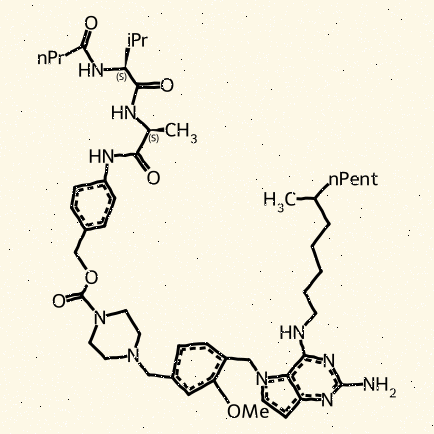 CCCCCC(C)CCCCCNc1nc(N)nc2ccn(Cc3ccc(CN4CCN(C(=O)OCc5ccc(NC(=O)[C@H](C)NC(=O)[C@@H](NC(=O)CCC)C(C)C)cc5)CC4)cc3OC)c12